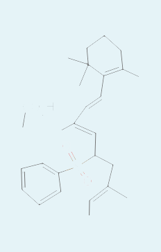 CC(=O)O.CC=C(C)CC(C=C(C)C=CC1=C(C)CCCC1(C)C)S(=O)(=O)c1ccccc1